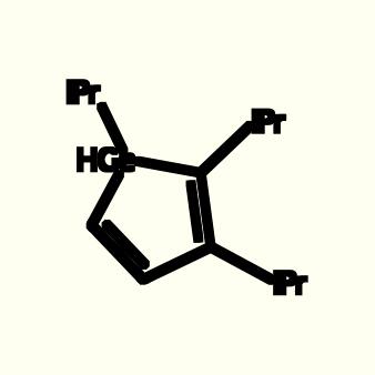 CC(C)C1=[C](C(C)C)[GeH]([CH](C)C)[CH]=C1